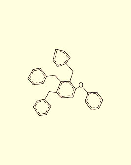 c1ccc(Cc2ccc(Oc3ccccc3)c(Cc3ccccc3)c2Cc2ccccc2)cc1